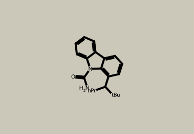 CCCC(c1cccc2c3ccccc3n(C(N)=O)c12)C(C)(C)C